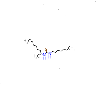 CCCCCCCNC(=S)NC(C)CCCCCC